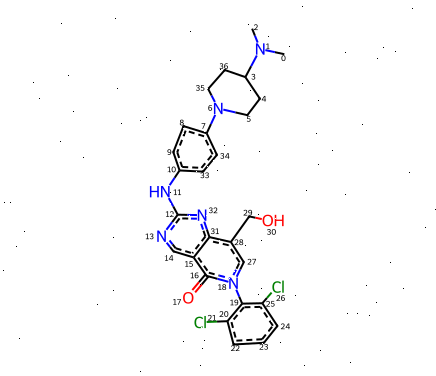 CN(C)C1CCN(c2ccc(Nc3ncc4c(=O)n(-c5c(Cl)cccc5Cl)cc(CO)c4n3)cc2)CC1